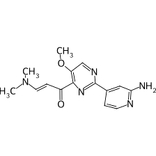 COc1cnc(-c2ccnc(N)c2)nc1C(=O)/C=C/N(C)C